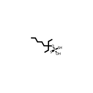 CCCCCC(CC)(CC)OP(O)(=S)S